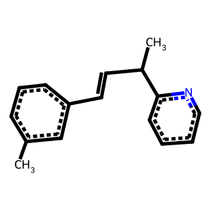 Cc1cccc(/C=C/C(C)c2ccccn2)c1